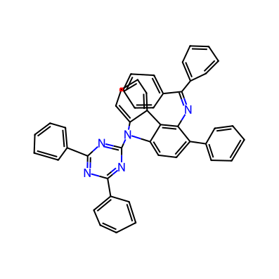 c1ccc(C(=Nc2c(-c3ccccc3)ccc3c2c2ccccc2n3-c2nc(-c3ccccc3)nc(-c3ccccc3)n2)c2ccccc2)cc1